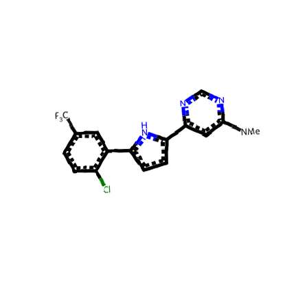 CNc1cc(-c2ccc(-c3cc(C(F)(F)F)ccc3Cl)[nH]2)ncn1